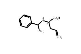 C=CC[C@@H](NC(C)c1ccccc1)C(=O)O